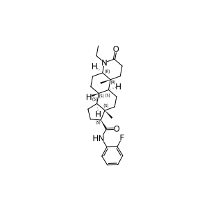 CCN1C(=O)CC[C@]2(C)[C@H]3CC[C@]4(C)[C@@H](C(=O)Nc5ccccc5F)CC[C@H]4[C@@H]3CC[C@@H]12